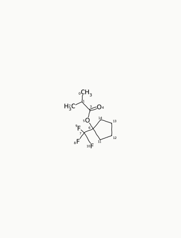 CC(C)C(=O)OC1(C(F)(F)F)CCCC1